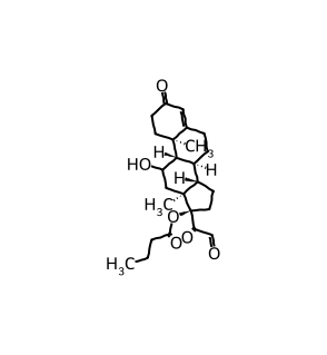 CCCC(=O)O[C@]1(C(=O)C=O)CC[C@H]2[C@@H]3CCC4=CC(=O)CC[C@]4(C)[C@H]3C(O)C[C@@]21C